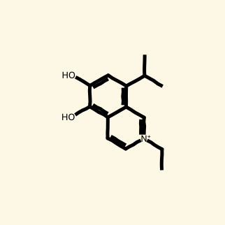 CC[n+]1ccc2c(O)c(O)cc(C(C)C)c2c1